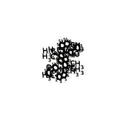 Cc1ccc2ccc(C)c(N(c3ccc4oc5ccccc5c4c3)c3cc(C(C)C)c4ccc5c(N(c6ccc7oc8ccccc8c7c6)c6c(C)ccc7ccc(C)cc67)cc(C(C)C)c6ccc3c4c65)c2c1